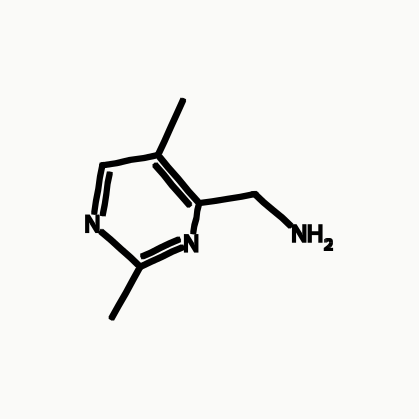 Cc1ncc(C)c(CN)n1